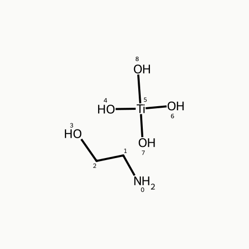 NCCO.[OH][Ti]([OH])([OH])[OH]